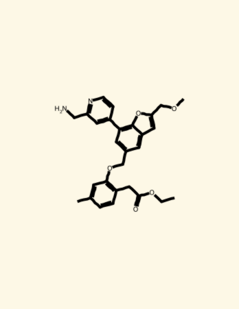 CCOC(=O)Cc1ccc(C)cc1OCc1cc(-c2ccnc(CN)c2)c2oc(COC)cc2c1